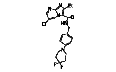 CCc1nc2ncc(Cl)cn2c1C(=O)NCc1ccc(N2CCC(F)(F)CC2)cc1